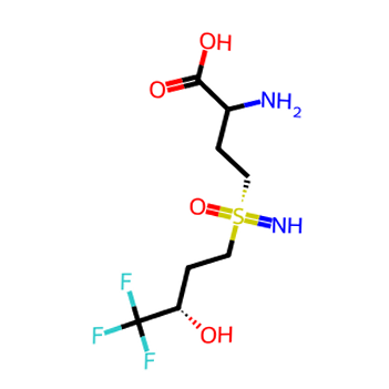 N=[S@@](=O)(CCC(N)C(=O)O)CC[C@H](O)C(F)(F)F